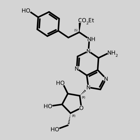 CCOC(=O)[C@H](Cc1ccc(O)cc1)NN1C=Nc2c(ncn2[C@@H]2O[C@H](CO)C(O)C2O)C1N